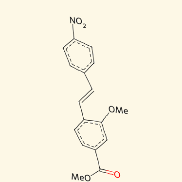 COC(=O)c1ccc(C=Cc2ccc([N+](=O)[O-])cc2)c(OC)c1